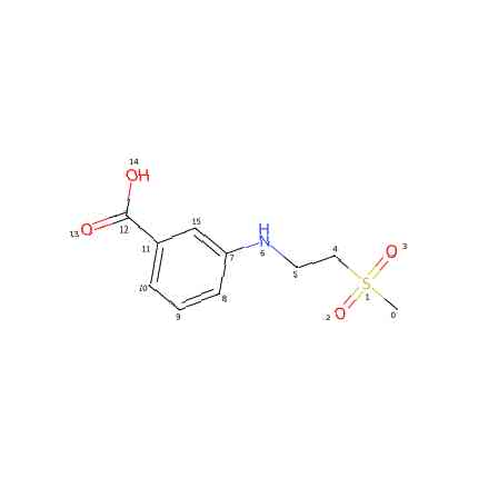 CS(=O)(=O)CCNc1cccc(C(=O)O)c1